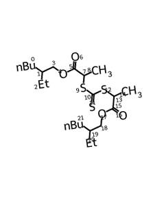 CCCCC(CC)COC(=O)C(C)SC(=S)SC(C)C(=O)OCC(CC)CCCC